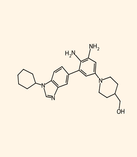 Nc1cc(N2CCC(CO)CC2)cc(-c2ccc3c(c2)ncn3C2CCCCC2)c1N